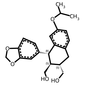 CC(C)Oc1ccc2c(c1)[C@@H](c1ccc3c(c1)OCO3)[C@H](CO)[C@@H](CO)C2